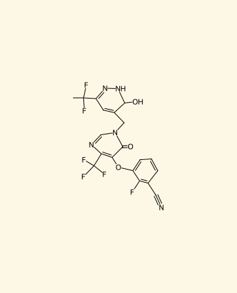 CC(F)(F)C1=NNC(O)C(Cn2cnc(C(F)(F)F)c(Oc3cccc(C#N)c3F)c2=O)=C1